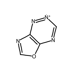 C1=Nc2ocnc2N=[N+]1